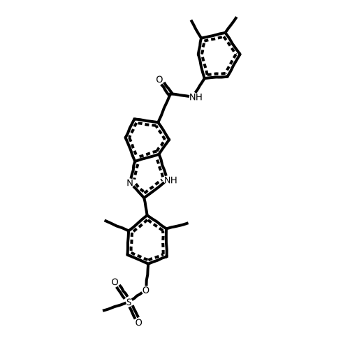 Cc1ccc(NC(=O)c2ccc3nc(-c4c(C)cc(OS(C)(=O)=O)cc4C)[nH]c3c2)cc1C